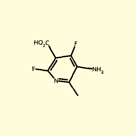 Cc1nc(F)c(C(=O)O)c(F)c1N